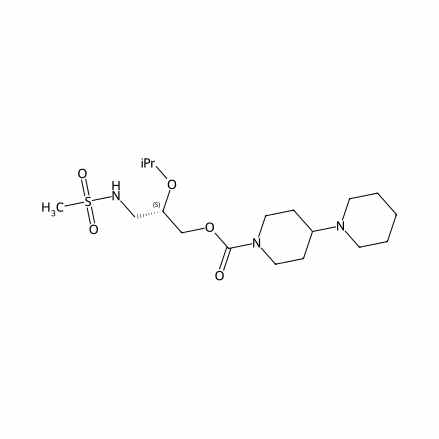 CC(C)O[C@@H](CNS(C)(=O)=O)COC(=O)N1CCC(N2CCCCC2)CC1